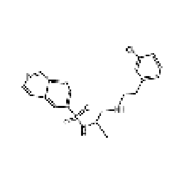 CC(CNCCc1cccc(Cl)c1)NS(=O)(=O)c1ccc2cnccc2c1